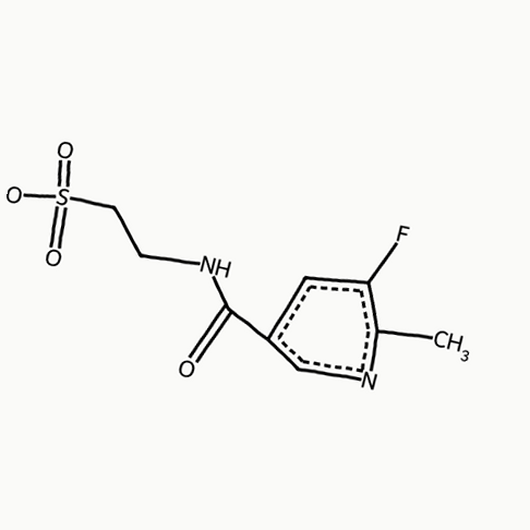 Cc1ncc(C(=O)NCCS(=O)(=O)O)cc1F